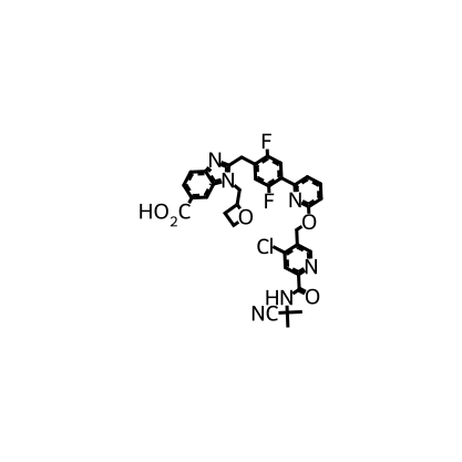 CC(C)(C#N)NC(=O)c1cc(Cl)c(COc2cccc(-c3cc(F)c(Cc4nc5ccc(C(=O)O)cc5n4CC4CCO4)cc3F)n2)cn1